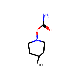 NC(=O)ON1CCC(C=O)CC1